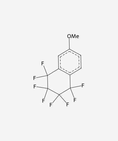 COc1ccc2c(c1)C(F)(F)C(F)(F)C(F)(F)C2(F)F